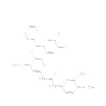 COc1ccc(NC(=O)Nc2ccc(OC(c3ccccc3)c3ccc(F)c(F)c3)c(C(=O)O)c2)cc1OC